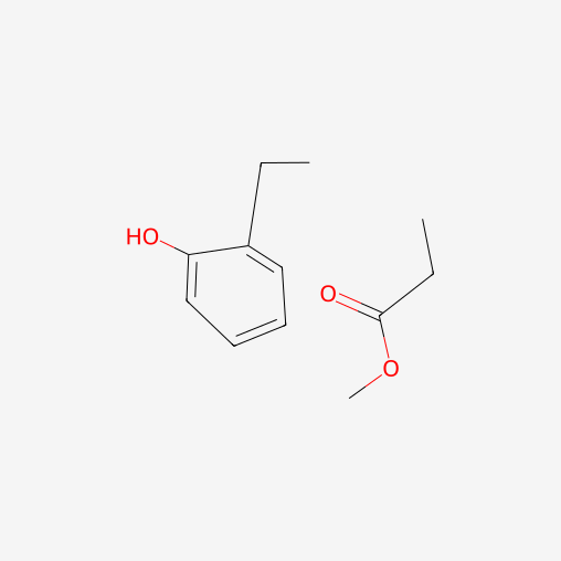 CCC(=O)OC.CCc1ccccc1O